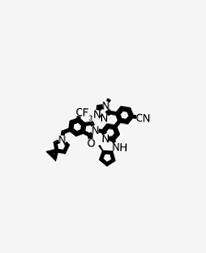 C[C@@H]1CCC[C@H]1Nc1cc(-c2cc(C#N)ccc2-c2nncn2C)cc(N2Cc3c(cc(CN4CCC5(CC5)C4)cc3C(F)(F)F)C2=O)n1